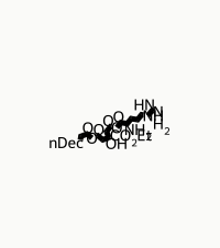 CCCCCCCCCCCC(=O)OC(=O)CC(O)(CC(=O)OC(=O)[C@@H](N)CCCNC(=N)N)C(=O)OCC